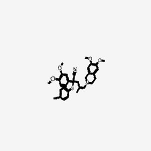 COc1ccc(C(C#N)(CC(C)CN2CCc3cc(OC)c(OC)cc3C2)Sc2ccc(C)cc2)cc1OC